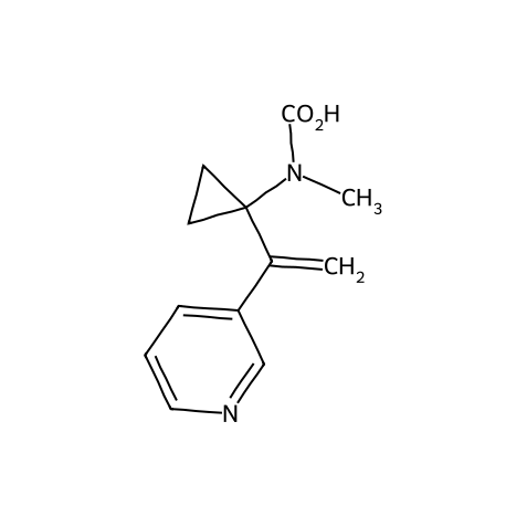 C=C(c1cccnc1)C1(N(C)C(=O)O)CC1